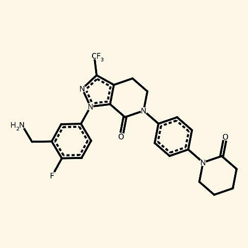 NCc1cc(-n2nc(C(F)(F)F)c3c2C(=O)N(c2ccc(N4CCCCC4=O)cc2)CC3)ccc1F